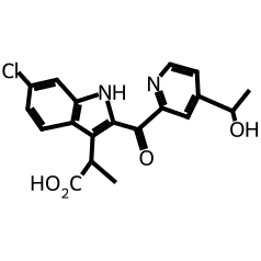 CC(O)c1ccnc(C(=O)c2[nH]c3cc(Cl)ccc3c2C(C)C(=O)O)c1